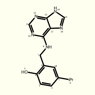 CC(C)c1ccc(O)c(CNc2ncnc3[nH]cnc23)c1